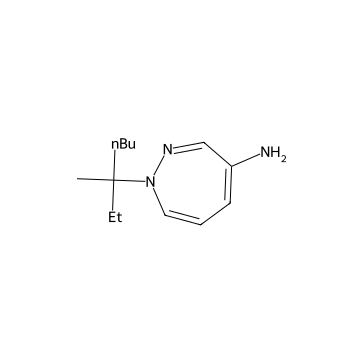 CCCCC(C)(CC)N1C=CC=C(N)C=N1